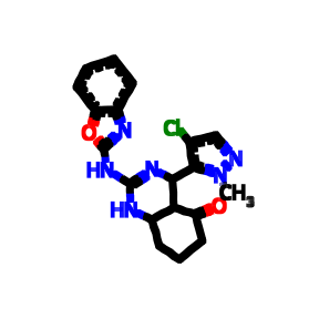 Cn1ncc(Cl)c1C1N=C(Nc2nc3ccccc3o2)NC2CCCC(=O)C21